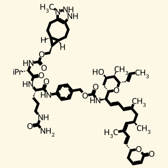 C/C=C/[C@@H]1O[C@H]([C@@H](/C=C/C=C(\C)C[C@@H](C)/C=C(C)\C=C\[C@H]2CC=CC(=O)O2)NC(=O)OCc2ccc(NC(=O)[C@H](CCCNC(N)=O)NC(=O)[C@@H](NC(=O)OC[C@@H]3[C@@H]4CCC5=C(CC[C@@H]43)N(C)NN5)C(C)C)cc2)C[C@@H](O)[C@@H]1C